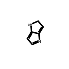 C1=NC2=CC[Se]C2=C1